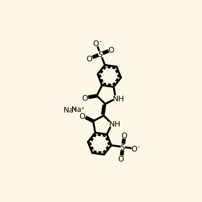 O=C1C(=C2Nc3c(cccc3S(=O)(=O)[O-])C2=O)Nc2ccc(S(=O)(=O)[O-])cc21.[Na+].[Na+]